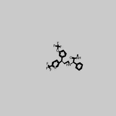 CNC(=O)[C@H](NCC[C@@H](c1ccc(C(F)(F)F)nc1)c1cccc(OC(F)(F)F)c1)c1ccccc1